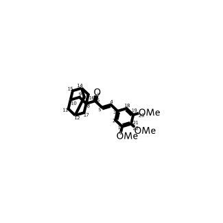 COc1cc(C=CC(=O)C23CC4CC(CC(C4)C2)C3)cc(OC)c1OC